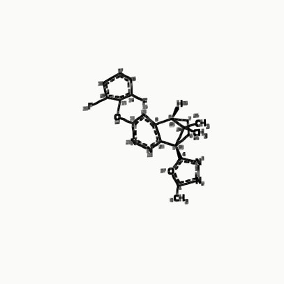 Cc1nnc([C@@]23CC[C@@H](c4cc(Oc5c(F)cccc5F)nnc42)C3(C)C)o1